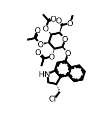 COC(=O)[C@H]1O[C@@H](Oc2cc3c(c4ccccc24)[C@H](CCl)CN3)[C@H](OC(C)=O)[C@@H](OC(C)=O)[C@@H]1OC(C)=O